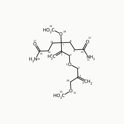 C=C(COCC(=C)C(CCC(N)=O)(CCC(N)=O)OC(=O)O)COC(=O)O